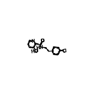 O=C(NCCc1ccc(Cl)cc1)c1ncccc1O